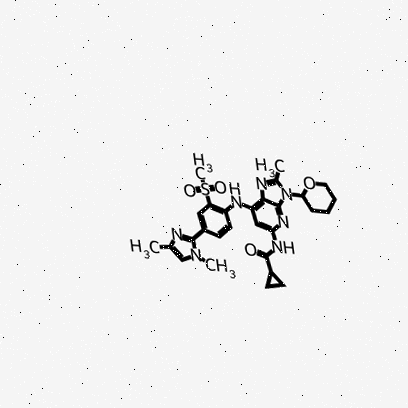 Cc1cn(C)c(-c2ccc(Nc3cc(NC(=O)C4CC4)nc4c3nc(C)n4C3CCCCO3)c(S(C)(=O)=O)c2)n1